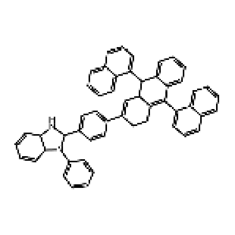 C1=CC2NC(c3ccc(C4=CC5C(=C(c6cccc7ccccc67)c6ccccc6C5c5cccc6ccccc56)CC4)cc3)N(c3ccccc3)C2C=C1